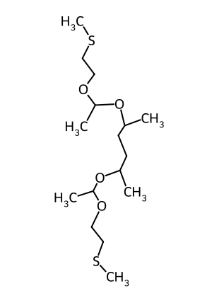 CSCCOC(C)OC(C)CCC(C)OC(C)OCCSC